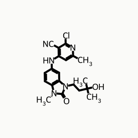 Cc1cc(Nc2ccc3c(c2)n(CCC(C)(C)O)c(=O)n3C)c(C#N)c(Cl)n1